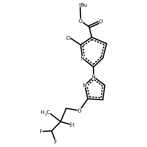 CCC(C)(COc1ccn(-c2ccc(C(=O)OC(C)(C)C)c(Cl)n2)n1)C(F)F